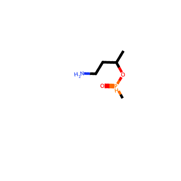 CC(CCN)O[PH](C)=O